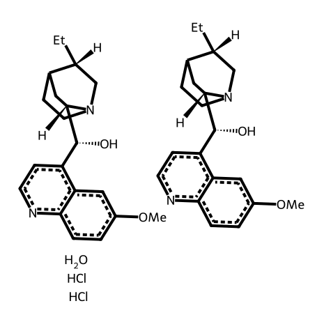 CC[C@@H]1CN2CCC1C[C@H]2[C@H](O)c1ccnc2ccc(OC)cc12.CC[C@@H]1CN2CCC1C[C@H]2[C@H](O)c1ccnc2ccc(OC)cc12.Cl.Cl.O